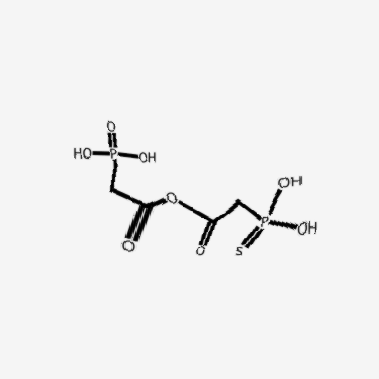 O=C(CP(=O)(O)O)OC(=O)CP(O)(O)=S